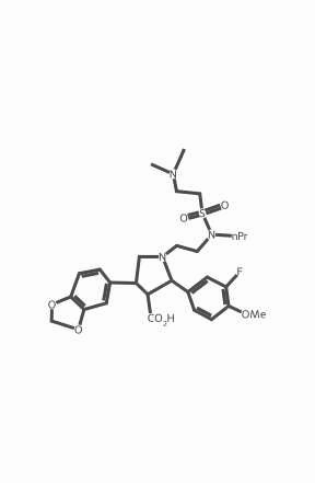 CCCN(CCN1CC(c2ccc3c(c2)OCO3)C(C(=O)O)C1c1ccc(OC)c(F)c1)S(=O)(=O)CCN(C)C